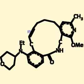 CCN(c1cccc2c1C/C=C\CCCc1cc(C)nc(OC)c1CNC2=O)C1CCOCC1